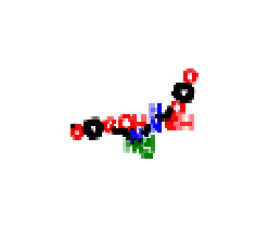 COc1ccc(OCC(O)CNCC[N+](C)(C)CC(O)COc2ccc(OC)cc2)cc1.Cl.[Cl-]